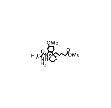 COC(=O)CCCCC1(c2ccc(OC)cc2NC(=O)C(C)N)SCCCS1